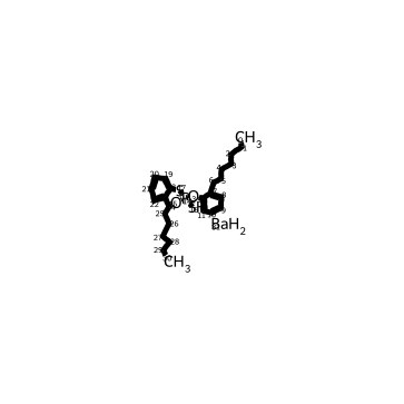 CCCCCCCc1ccccc1OP(=O)(S)Sc1ccccc1CCCCCCC.[BaH2]